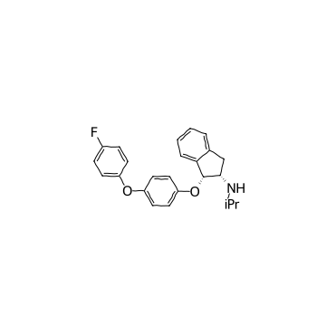 CC(C)N[C@H]1Cc2ccccc2[C@H]1Oc1ccc(Oc2ccc(F)cc2)cc1